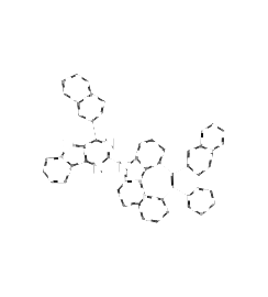 c1ccc(C2=C(c3ccc4ccccc4c3)c3cccc4c3c3c5c2cccc5ccc3n4-c2nc(-c3ccc4ccccc4c3)c3oc4ccccc4c3n2)cc1